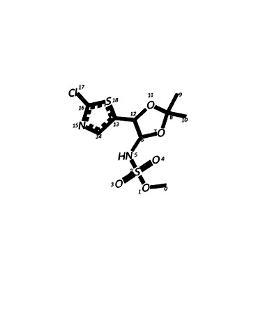 COS(=O)(=O)NC1OC(C)(C)OC1c1cnc(Cl)s1